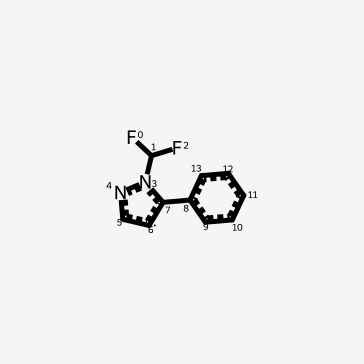 FC(F)n1nc[c]c1-c1ccccc1